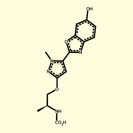 C[C@@H](COc1cc(-c2nc3ccc(O)cc3o2)n(C)n1)NC(=O)O